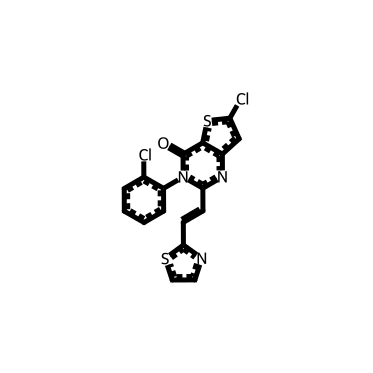 O=c1c2sc(Cl)cc2nc(C=Cc2nccs2)n1-c1ccccc1Cl